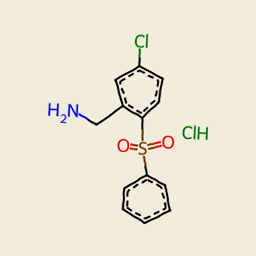 Cl.NCc1cc(Cl)ccc1S(=O)(=O)c1ccccc1